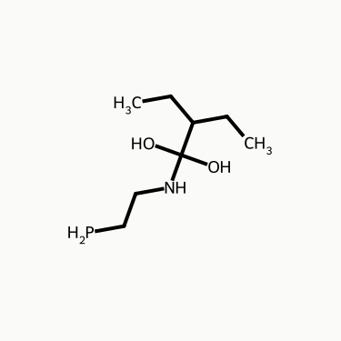 CCC(CC)C(O)(O)NCCP